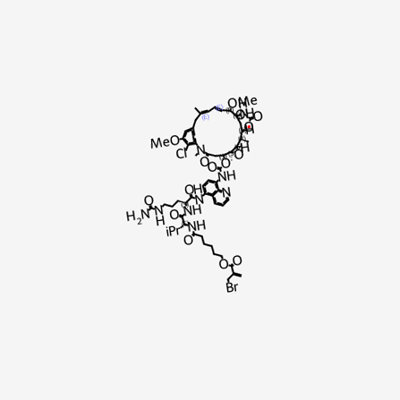 C=C(CBr)C(=O)OCCCCCC(=O)N[C@H](C(=O)N[C@@H](CCCNC(N)=O)C(=O)Nc1ccc(NC(=O)O[C@H]2CC(=O)N(C)c3cc(cc(OC)c3Cl)C/C(C)=C/C=C/[C@@H](OC)[C@@]3(O)C[C@H](OC(=O)N3)[C@@H](C)[C@@H]3O[C@@]23C)c2ncccc12)C(C)C